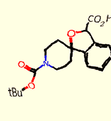 CC(C)(C)OC(=O)N1CCC2(CC1)OC(C(=O)O)c1ccccc12